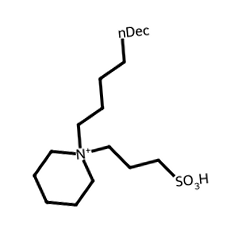 CCCCCCCCCCCCCC[N+]1(CCCS(=O)(=O)O)CCCCC1